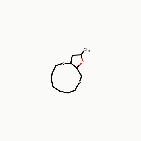 CC1CC2CCCCCCCCCCC2O1